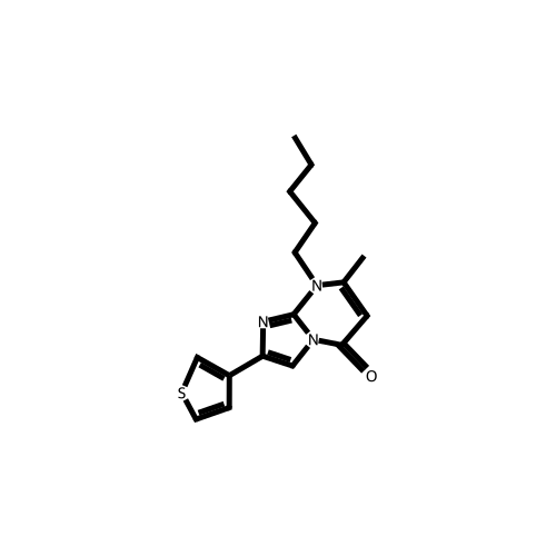 CCCCCn1c(C)cc(=O)n2cc(-c3ccsc3)nc12